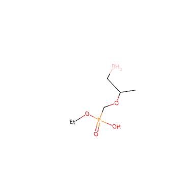 BCC(C)OCP(=O)(O)OCC